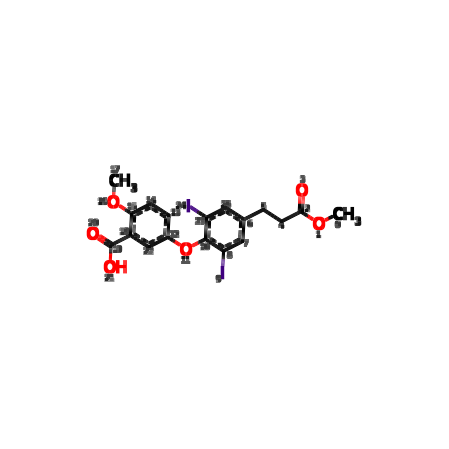 COC(=O)CCc1cc(I)c(Oc2ccc(OC)c(C(=O)O)c2)c(I)c1